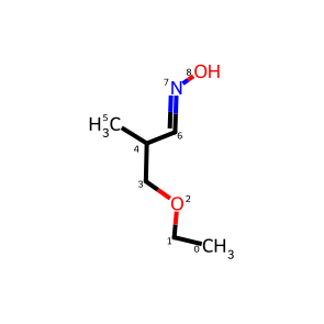 CCOCC(C)C=NO